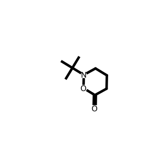 CC(C)(C)N1CCCC(=O)O1